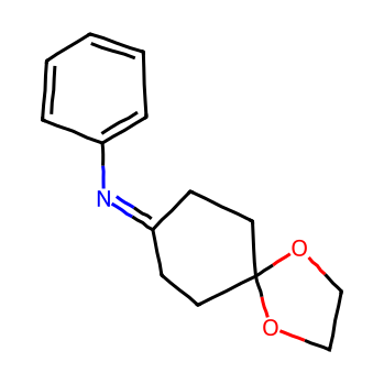 c1ccc(N=C2CCC3(CC2)OCCO3)cc1